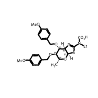 CCN(C(=O)O)C1=N[C@@H]2[C@@H](OCc3ccc(OC)cc3)[C@H](OCc3ccc(OC)cc3)[C@@H](C)O[C@@H]2S1